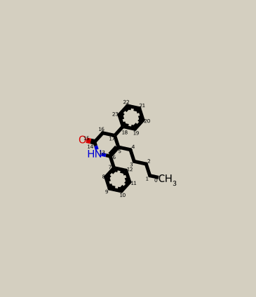 CCCCCC1=C(c2ccccc2)NC(=O)CC1c1ccccc1